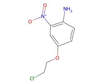 Nc1ccc(OCCCl)cc1[N+](=O)[O-]